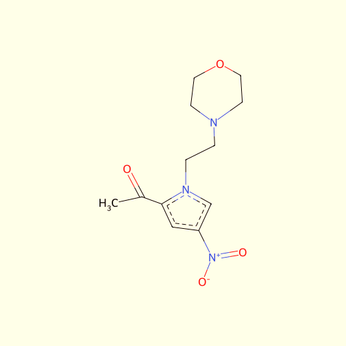 CC(=O)c1cc([N+](=O)[O-])cn1CCN1CCOCC1